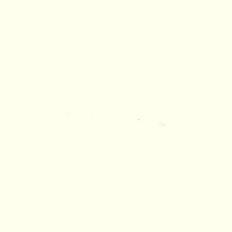 CCC(C#N)(CC)c1ccc(C#N)cc1